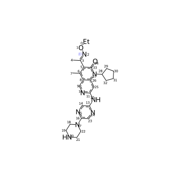 CCO/N=C(\C)c1c(C)c2cnc(Nc3cnc(N4CCNCC4)cn3)cc2n(C2CCCC2)c1=O